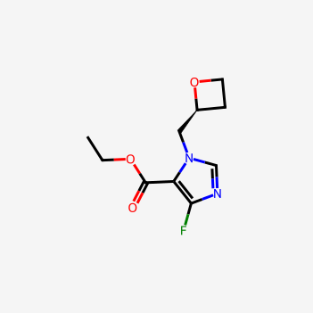 CCOC(=O)c1c(F)ncn1C[C@@H]1CCO1